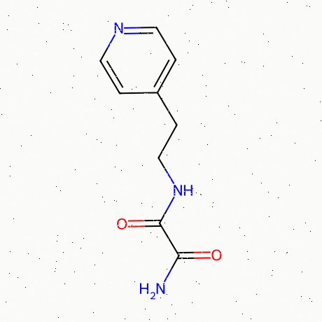 NC(=O)C(=O)NCCc1ccncc1